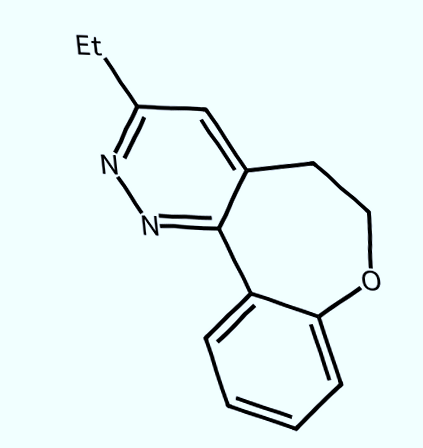 CCc1cc2c(nn1)-c1ccccc1OCC2